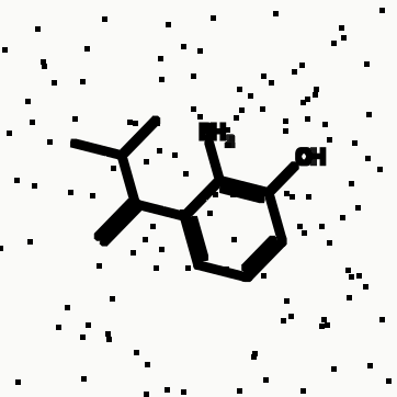 Bc1c(O)cccc1C(=C)C(C)C